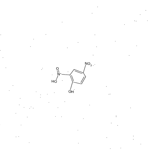 O=[N+]([O-])c1ccc(O)c([N+](=O)O)c1